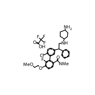 CNC(=O)c1ccc(OCCOC)c(F)c1-c1cc(C(CNC2CCC(N)CC2)c2ccccc2)ccc1Cl.O=C(O)C(F)(F)F